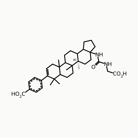 CC1(C)C(c2ccc(C(=O)O)cc2)=CCC2(C)C1CCC1(C)C2CCC2C3CCCC3(NC(=O)NCC(=O)O)CC[C@]21C